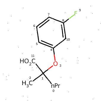 CCCC(C)(Oc1cccc(F)c1)C(=O)O